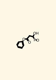 O=PC(O)CC(=O)Oc1ccccc1